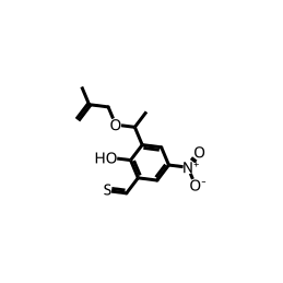 C=C(C)COC(C)c1cc([N+](=O)[O-])cc(C=S)c1O